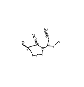 CCC(C#N)N1CCCC(C)C1=O